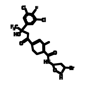 CC1=C(C(=O)NC2CC(Br)NO2)CCC(C(=O)CC(O)(c2cc(Cl)c(F)c(Cl)c2)C(F)(F)F)=C1